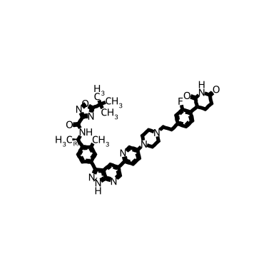 Cc1cc(-c2n[nH]c3ncc(-c4ccc(N5CCN(CCc6ccc(C7CCC(=O)NC7=O)c(F)c6)CC5)cn4)cc23)ccc1[C@@H](C)NC(=O)c1noc(C(C)(C)C)n1